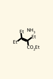 CCOC(=O)C(CC)=C(CC)CC.N